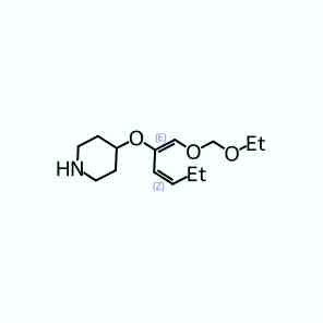 CC/C=C\C(=C/OCOCC)OC1CCNCC1